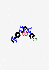 CN1CCN=C1c1ccc(NC(=O)C2CCCN2C(=O)Nc2ccc(Cl)cc2)cc1